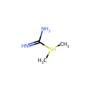 C[SH](C)C(=N)N